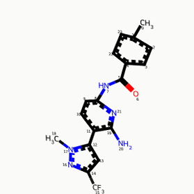 Cc1ccc(C(=O)Nc2ccc(-c3cc(C(F)(F)F)nn3C)c(N)n2)cc1